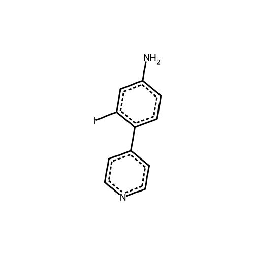 Nc1ccc(-c2ccncc2)c(I)c1